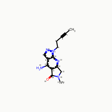 CC#CCCn1ncc2c(N)c3c(nc21)CN(CCC)C3=O